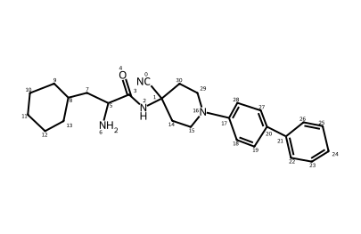 N#CC1(NC(=O)C(N)CC2CCCCC2)CCN(c2ccc(-c3ccccc3)cc2)CC1